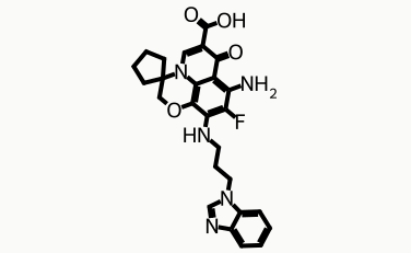 Nc1c(F)c(NCCCn2cnc3ccccc32)c2c3c1c(=O)c(C(=O)O)cn3C1(CCCC1)CO2